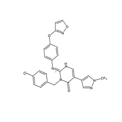 Cn1cc(-c2c[nH]/c(=N\c3ccc(Oc4ccon4)cc3)n(Cc3ccc(Cl)cc3)c2=O)cn1